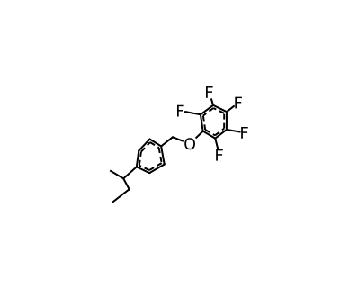 CCC(C)c1ccc(COc2c(F)c(F)c(F)c(F)c2F)cc1